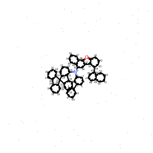 c1ccc(-c2cccc(N(c3cccc4c3-c3ccccc3C43c4ccccc4-c4ccccc43)c3cc4c(oc5cccc(-c6cccc7ccccc67)c54)c4ccccc34)c2)cc1